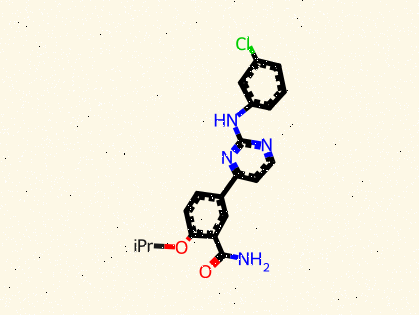 CC(C)Oc1ccc(-c2ccnc(Nc3cccc(Cl)c3)n2)cc1C(N)=O